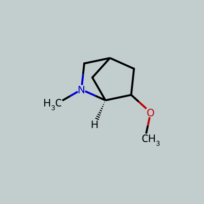 COC1CC2C[C@@H]1N(C)C2